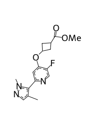 COC(=O)C1CC(Oc2cc(-c3c(C)cnn3C)ncc2F)C1